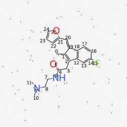 CC1=C(CC(=O)NCCN(C)C)c2cc(F)ccc2C1=Cc1ccco1